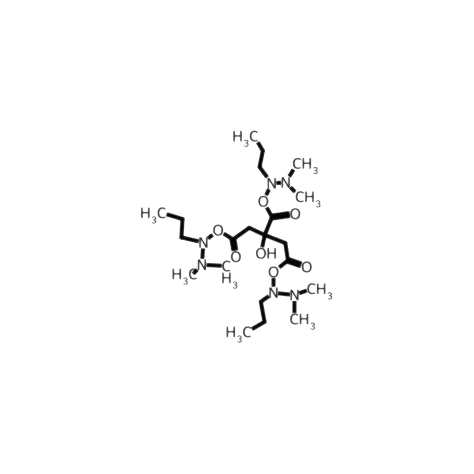 CCCN(OC(=O)CC(O)(CC(=O)ON(CCC)N(C)C)C(=O)ON(CCC)N(C)C)N(C)C